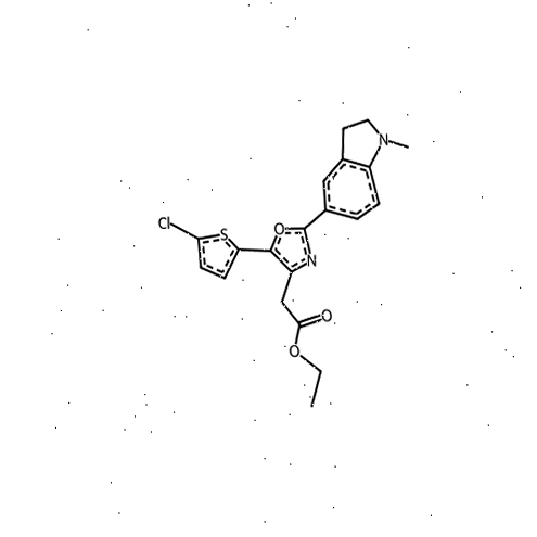 CCOC(=O)Cc1nc(-c2ccc3c(c2)CCN3C)oc1-c1ccc(Cl)s1